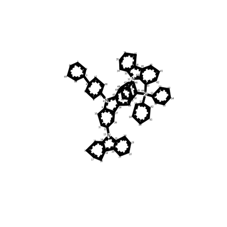 c1ccc(-c2ccc(-n3c4ccc(-n5c6ccccc6c6ccccc65)cc4c4ccc(-n5c6ccccc6c6cccc([Si](c7ccccc7)(c7ccccc7)c7ccccc7)c65)cc43)cc2)cc1